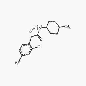 Cc1ccc(CC(=O)NC2CCC(C)CC2)c(Cl)c1.O=C(O)O